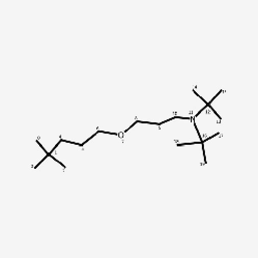 CC(C)(C)CCCOCCCN(C(C)(C)C)C(C)(C)C